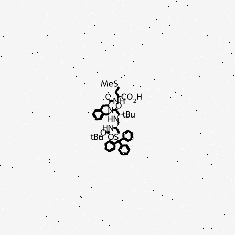 CSCC[C@H](NC(=O)[C@@H]1Cc2ccccc2CN1C(=O)[C@@H](NC[C@H](CSC(c1ccccc1)(c1ccccc1)c1ccccc1)NC(=O)OC(C)(C)C)C(C)(C)C)C(=O)O